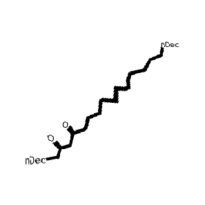 CCCCCCCCCCCCCCCCCCCCCC(=O)CC(=O)CCCCCCCCCCC